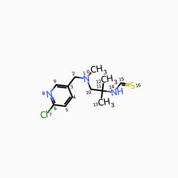 CN(Cc1ccc(Cl)nc1)CC(C)(C)NC=S